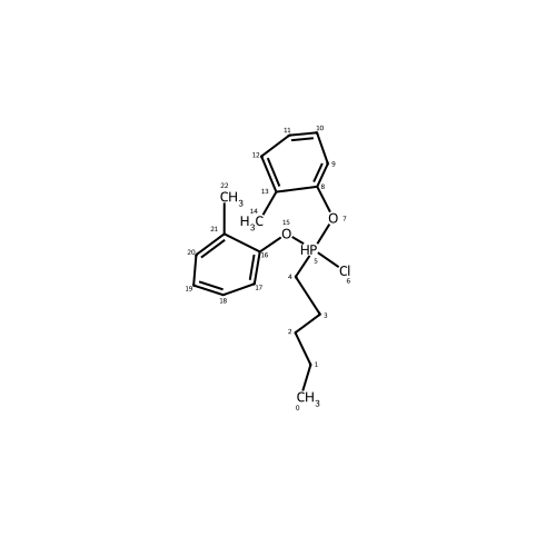 CCCCC[PH](Cl)(Oc1ccccc1C)Oc1ccccc1C